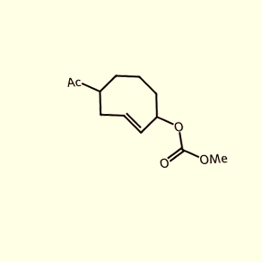 COC(=O)OC1/C=C/CC(C(C)=O)CCC1